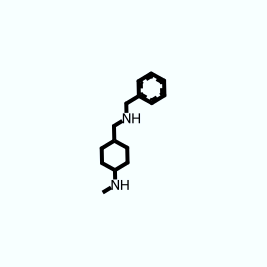 CNC1CCC(CNCc2ccccc2)CC1